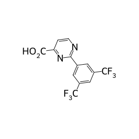 O=C(O)c1ccnc(-c2cc(C(F)(F)F)cc(C(F)(F)F)c2)n1